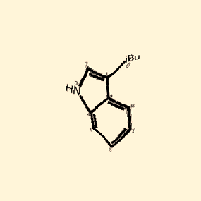 [CH2]C(CC)c1c[nH]c2ccccc12